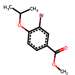 COC(=O)c1ccc(OC(C)C)c(Br)c1